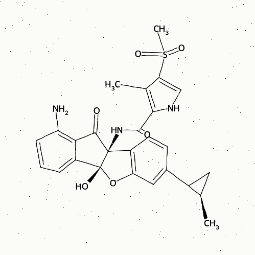 Cc1c(S(C)(=O)=O)c[nH]c1C(=O)N[C@]12C(=O)c3c(N)cccc3[C@@]1(O)Oc1cc(C3C[C@H]3C)ccc12